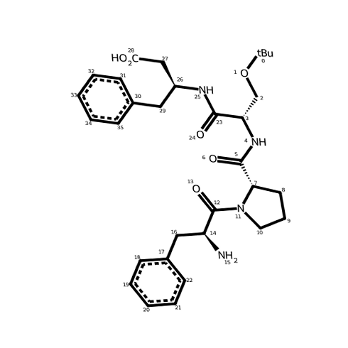 CC(C)(C)OC[C@H](NC(=O)[C@@H]1CCCN1C(=O)[C@@H](N)Cc1ccccc1)C(=O)N[C@H](CC(=O)O)Cc1ccccc1